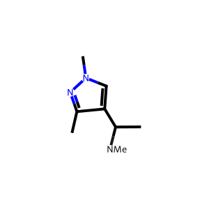 [CH2-][NH2+]C(C)c1cn(C)nc1C